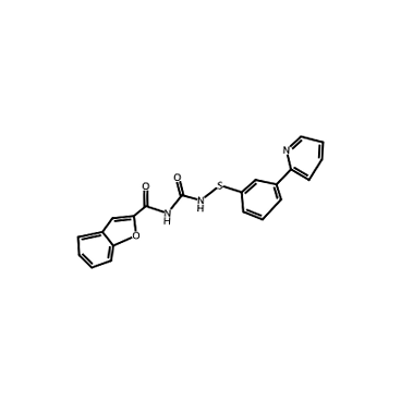 O=C(NSc1cccc(-c2ccccn2)c1)NC(=O)c1cc2ccccc2o1